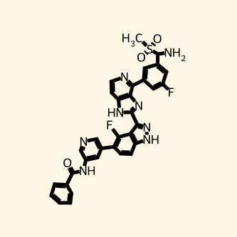 CS(=O)(=O)C(N)c1cc(F)cc(-c2nccc3[nH]c(-c4n[nH]c5ccc(-c6cncc(NC(=O)c7ccccc7)c6)c(F)c45)nc23)c1